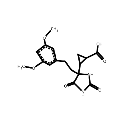 COc1cc(CCC2(C3CC3C(=O)O)NC(=O)NC2=O)cc(OC)c1